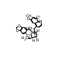 C=C[C@H]1C[N+]2(Cc3cc4c(cc3Cl)OCO4)CC[C@H]1C[C@H]2[C@H](O)c1ccnc2ccc(OC)cc12.[Cl-]